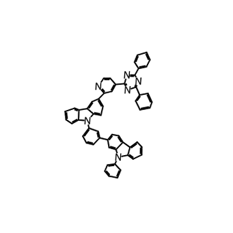 c1ccc(-c2nc(-c3ccccc3)nc(-c3ccnc(-c4ccc5c(c4)c4ccccc4n5-c4cccc(-c5ccc6c7ccccc7n(-c7ccccc7)c6c5)c4)c3)n2)cc1